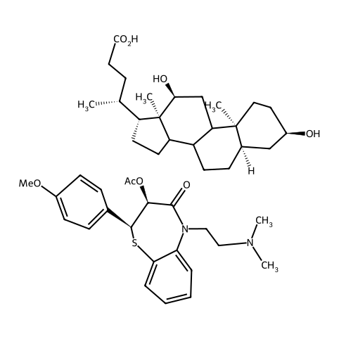 COc1ccc([C@@H]2Sc3ccccc3N(CCN(C)C)C(=O)[C@@H]2OC(C)=O)cc1.C[C@H](CCC(=O)O)[C@H]1CCC2C3CC[C@@H]4C[C@H](O)CC[C@]4(C)C3C[C@H](O)[C@@]21C